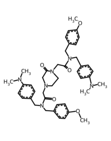 COc1ccc(CN(Cc2ccc(N(C)C)cc2)C(=O)CN2CCN(CC(=O)N(Cc3ccc(OC)cc3)Cc3ccc(N(C)C)cc3)C(=O)C2)cc1